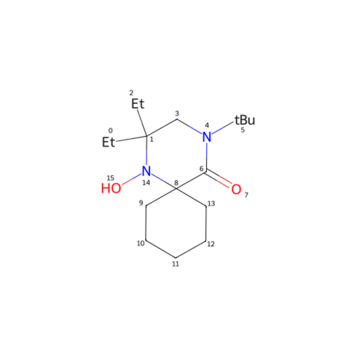 CCC1(CC)CN(C(C)(C)C)C(=O)C2(CCCCC2)N1O